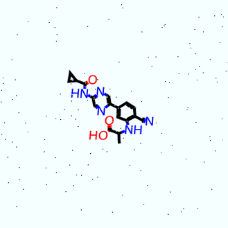 CC(Nc1cc(-c2cnc(NC(=O)C3CC3)cn2)ccc1C#N)C(=O)O